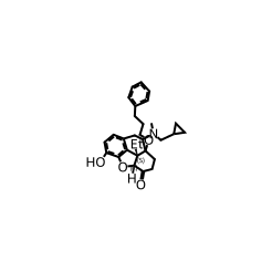 CC[C@]12c3c4ccc(O)c3O[C@H]1C(=O)CCC2(OCCCc1ccccc1)C(N(C)CC1CC1)C4